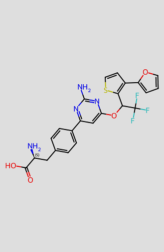 Nc1nc(OC(c2sccc2-c2ccco2)C(F)(F)F)cc(-c2ccc(C[C@H](N)C(=O)O)cc2)n1